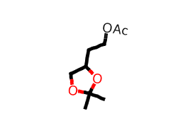 CC(=O)OCCC1COC(C)(C)O1